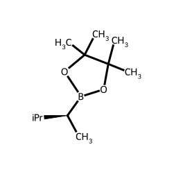 CC(C)[C@H](C)B1OC(C)(C)C(C)(C)O1